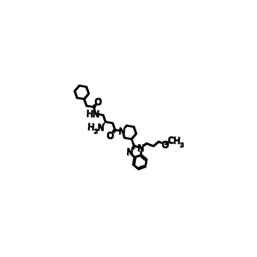 COCCCn1c([C@@H]2CCCN(C(=O)C[C@H](N)CNC(=O)CC3CCCCC3)C2)nc2ccccc21